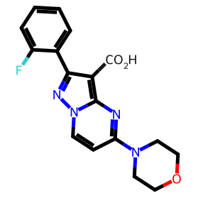 O=C(O)c1c(-c2ccccc2F)nn2ccc(N3CCOCC3)nc12